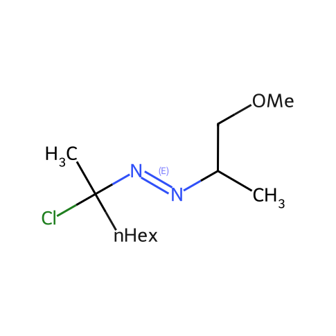 CCCCCCC(C)(Cl)/N=N/C(C)COC